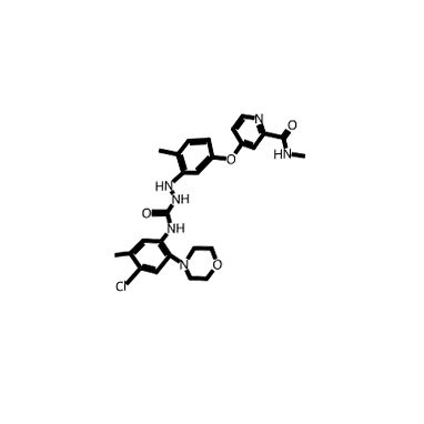 CNC(=O)c1cc(Oc2ccc(C)c(NNC(=O)Nc3cc(C)c(Cl)cc3N3CCOCC3)c2)ccn1